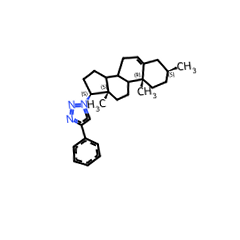 C[C@H]1CC[C@@]2(C)C(=CCC3C2CC[C@@]2(C)C3CC[C@@H]2n2cc(-c3ccccc3)nn2)C1